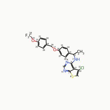 CC(Nc1ncnc2scc(Cl)c12)c1ccc(OCc2ccc(OC(F)(F)F)cc2)cc1